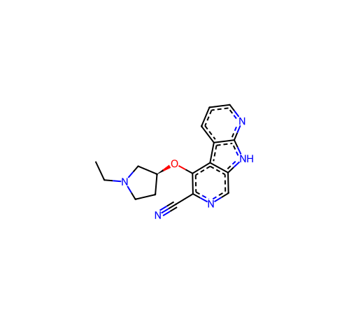 CCN1CC[C@H](Oc2c(C#N)ncc3[nH]c4ncccc4c23)C1